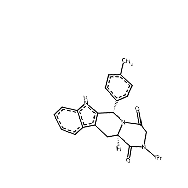 Cc1ccc([C@H]2c3[nH]c4ccccc4c3C[C@@H]3C(=O)N(C(C)C)CC(=O)N23)cc1